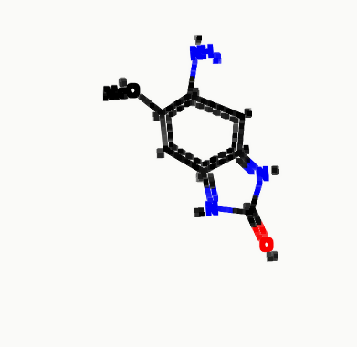 COc1cc2c(cc1N)=NC(=O)N=2